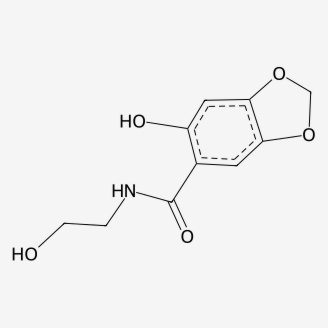 O=C(NCCO)c1cc2c(cc1O)OCO2